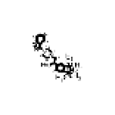 CC1(C)C(=O)C(C)(C)c2cc(C(O)CN3CCN(c4noc5ccccc45)CC3)ccc21